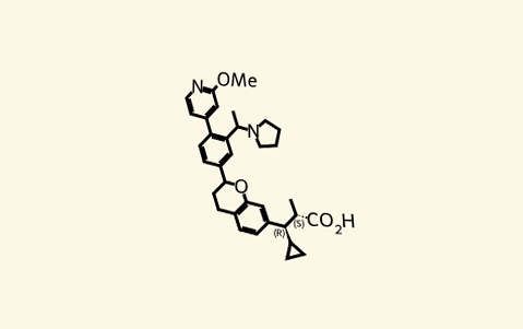 COc1cc(-c2ccc(C3CCc4ccc([C@H](C5CC5)[C@H](C)C(=O)O)cc4O3)cc2C(C)N2CCCC2)ccn1